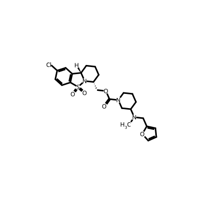 CN(Cc1ccco1)C1CCCN(C(=O)OC[C@H]2CCC[C@H]3c4cc(Cl)ccc4S(=O)(=O)N23)C1